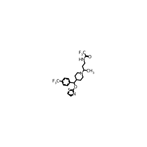 CC(CCNC(=O)C(F)(F)F)N1CCC(C(Oc2nccs2)c2ccc(C(F)(F)F)cc2)CC1